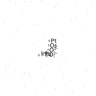 [Ir+4].[O-2].[O-2].[Os].[Pt].[Ru]